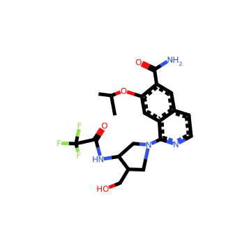 CC(C)Oc1cc2c(N3CC(CO)C(NC(=O)C(F)(F)F)C3)nccc2cc1C(N)=O